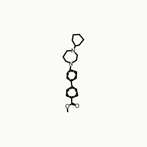 COC(=O)c1ccc(-c2ccc(N3CCCN(C4CCCCC4)CC3)cc2)cc1